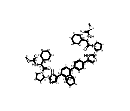 COC(=O)N[C@H](C(=O)N1CCC[C@@H]1c1ncc(-c2ccc(-c3ccc(-c4cnc([C@@H]5CCCN5C(=O)[C@@H](NC(=O)OC)C5CCCCC5)[nH]4)c4c3C3CCC4C3)cc2)[nH]1)C1CCCCC1